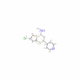 CNCCC(Sc1cc(Br)cs1)c1ccncc1